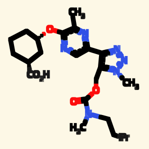 Cc1nc(-c2nnn(C)c2COC(=O)N(C)CCC(C)C)cnc1O[C@H]1CCC[C@H](C(=O)O)C1